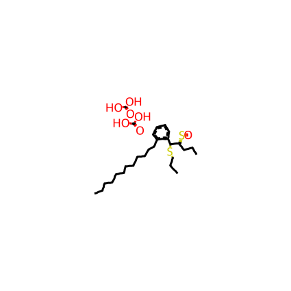 CCCCCCCCCCCCc1ccccc1C(SCCC)C(CCC)=S=O.O=C(O)O.O=C(O)O